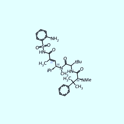 CN[C@H](C(=O)NC(C(=O)N(C)[C@H](/C=C(\C)C(=O)NS(=O)(=O)c1ccccc1N)C(C)C)C(C)(C)C)C(C)(C)c1ccccc1